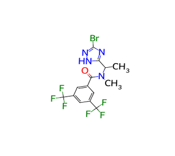 CC(c1nc(Br)n[nH]1)N(C)C(=O)c1cc(C(F)(F)F)cc(C(F)(F)F)c1